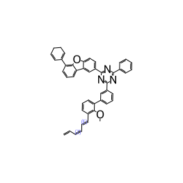 C=C/C=C\C=C\c1cccc(-c2cccc(-c3nc(-c4ccccc4)nc(-c4ccc5oc6c(C7=CCCC=C7)cccc6c5c4)n3)c2)c1OC